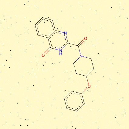 O=C(c1nc2ccccc2c(=O)[nH]1)N1CCC(Oc2ccccc2)CC1